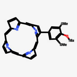 CCCCOc1c(OC)cc(C2=CC3=CC4=NC(=CC5=NC(=CC6=NC(=CC2=N3)C=C6)C=C5)C=C4)cc1OC